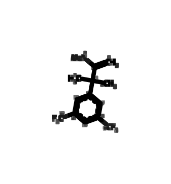 C=C(NC)C(C)(C)c1cc(C(F)(F)F)cc(C(F)(F)F)c1